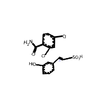 NC(=O)c1ccc(Cl)cc1Cl.O=S(=O)(O)/C=C/c1cccc(O)c1